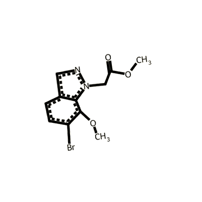 COC(=O)Cn1ncc2ccc(Br)c(OC)c21